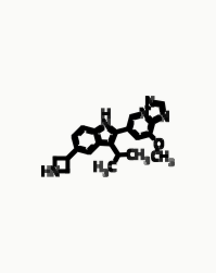 COc1cc(-c2[nH]c3ccc(C4CNC4)cc3c2C(C)C)cn2ncnc12